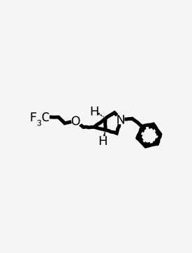 FC(F)(F)CCOCC1[C@H]2CN(Cc3ccccc3)C[C@@H]12